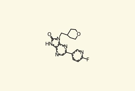 O=c1[nH]c2ncc(-c3ccc(F)nc3)nc2n1CC1CCOCC1